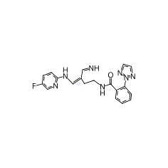 N=C/C(=C\Nc1ccc(F)cn1)CCNC(=O)c1ccccc1-n1nccn1